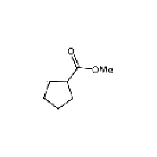 COC(=O)C1[CH]CCC1